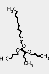 CCCCCCCCCOCOC(OCCCC)=C(CCC)OCCCC